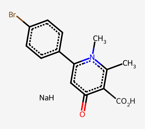 Cc1c(C(=O)O)c(=O)cc(-c2ccc(Br)cc2)n1C.[NaH]